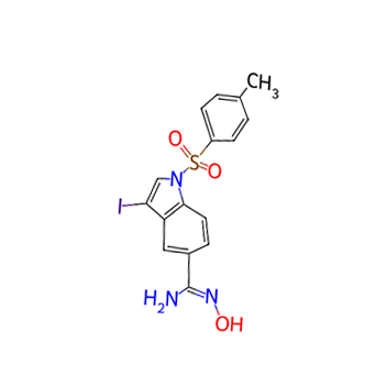 Cc1ccc(S(=O)(=O)n2cc(I)c3cc(/C(N)=N/O)ccc32)cc1